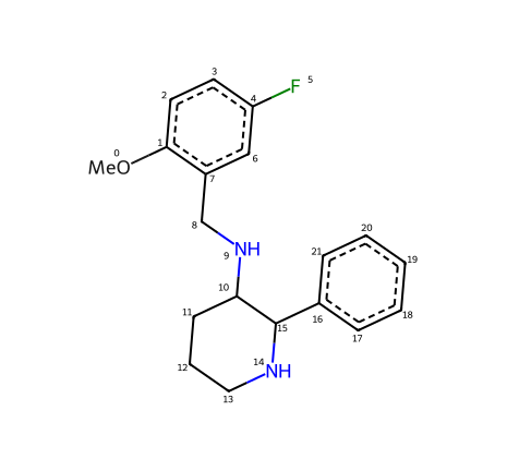 COc1ccc(F)cc1CNC1CCCNC1c1ccccc1